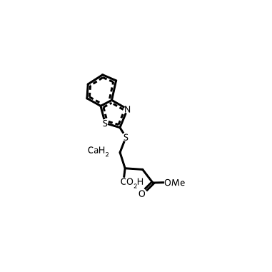 COC(=O)CC(CSc1nc2ccccc2s1)C(=O)O.[CaH2]